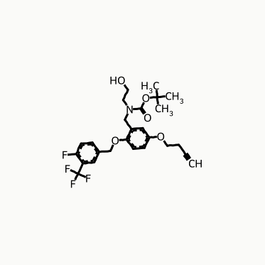 C#CCCOc1ccc(OCc2ccc(F)c(C(F)(F)F)c2)c(CN(CCO)C(=O)OC(C)(C)C)c1